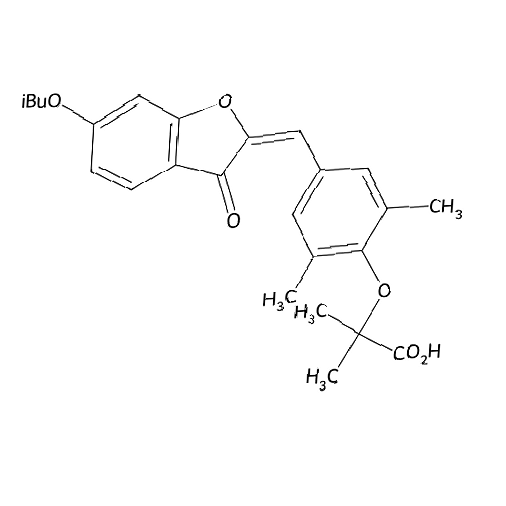 Cc1cc(C=C2Oc3cc(OCC(C)C)ccc3C2=O)cc(C)c1OC(C)(C)C(=O)O